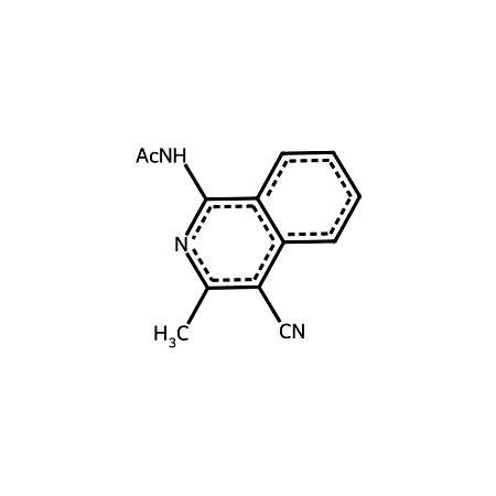 CC(=O)Nc1nc(C)c(C#N)c2ccccc12